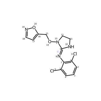 Clc1cccc(Cl)c1/N=C1\NCCN1OCc1ccno1